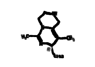 CC1=N[C@@H](C=O)C(C)=C2CNCCN12